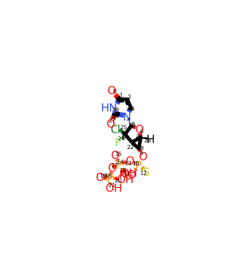 O=c1ccn([C@@H]2O[C@@H]3C(OP(O)(=S)OP(=O)(O)OP(=O)(O)O)C3[C@]2(F)Cl)c(=O)[nH]1